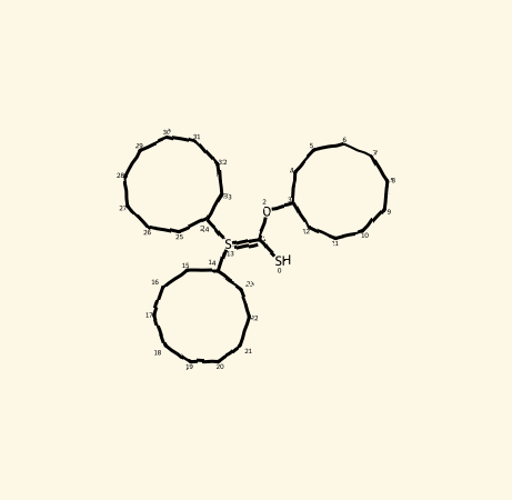 SC(OC1CCCCCCCCC1)=S(C1CCCCCCCCC1)C1CCCCCCCCC1